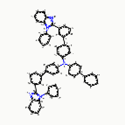 c1ccc(-c2ccc(N(c3ccc(-c4cccc(-c5nc6ccccc6n5-c5ccccc5)c4)cc3)c3ccc(-c4cccc(-c5nc6ccccc6n5-c5ccccc5)c4)cc3)cc2)cc1